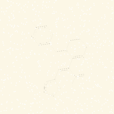 O=[N+]([O-])C(=Cc1ccco1)C1=NCCCN1Cc1ccc(Cl)nc1